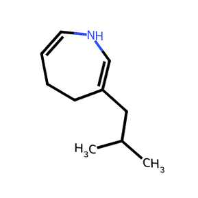 CC(C)CC1=CNC=CCC1